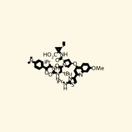 C=C[C@H]1C[C@]1(NC(=O)[C@@H]1C[C@@H](Oc2cc(-c3csc(NC(C)C)n3)nc3cc(OC)ccc23)CN1C(=O)[C@@H](NC(=O)NC(C(=O)c1ccc(N(C)C)cc1)C(C)C)C(C)(C)C)C(=O)O